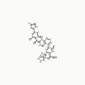 Cn1cc(-c2cc(Cl)c(C(=O)N3COc4c(cccc4-c4cc(N5CC6CCC(C5)O6)c(C(=O)O)cc4F)C3)c(Cl)c2)cn1